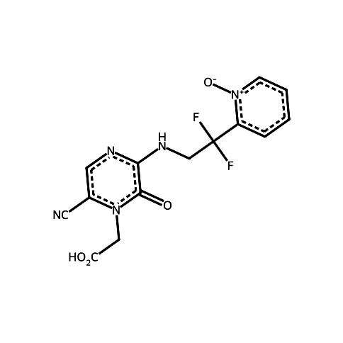 N#Cc1cnc(NCC(F)(F)c2cccc[n+]2[O-])c(=O)n1CC(=O)O